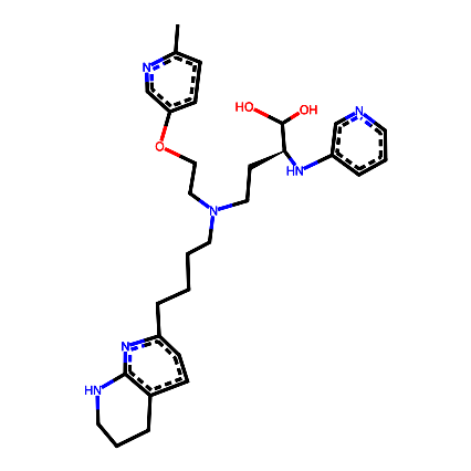 Cc1ccc(OCCN(CCCCc2ccc3c(n2)NCCC3)CC[C@H](Nc2cccnc2)C(O)O)cn1